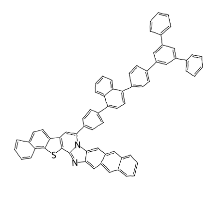 c1ccc(-c2cc(-c3ccccc3)cc(-c3ccc(-c4ccc(-c5ccc(-c6cc7c8ccc9ccccc9c8sc7c7nc8cc9cc%10ccccc%10cc9cc8n67)cc5)c5ccccc45)cc3)c2)cc1